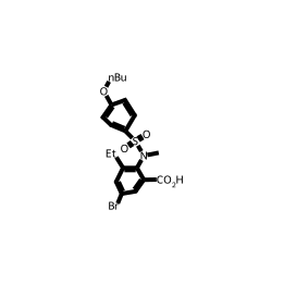 CCCCOc1ccc(S(=O)(=O)N(C)c2c(CC)cc(Br)cc2C(=O)O)cc1